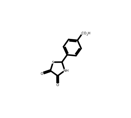 O=C1NC(c2ccc(C(=O)O)cc2)SC1=O